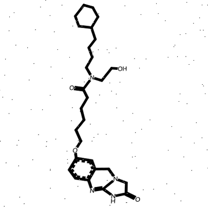 O=C1CN2Cc3cc(OCCCCCC(=O)N(CCO)CCCCC4CCCCC4)ccc3N=C2N1